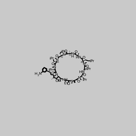 C=C1C(=O)N(C)[C@@H](CC(C)C)C(=O)N[C@H](C(C)C)C(=O)N(C)[C@H](CCC(C)C)C(=O)N[C@H](C)C(=O)N[C@@H](C)C(=O)N(C)[C@@H](CC(C)C)C(=O)N(C)[C@H](CC(C)C)C(=O)N(C)[C@H](C(C)C)C(=O)N(C)[C@@H]([C@H](O)[C@H](C)CCCc2cccc(N)c2)C(=O)N[C@H](CC)C(=O)N1C